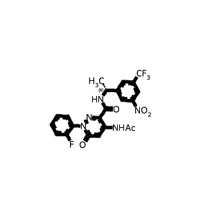 CC(=O)Nc1cc(=O)n(-c2ccccc2F)nc1C(=O)N[C@H](C)c1cc([N+](=O)[O-])cc(C(F)(F)F)c1